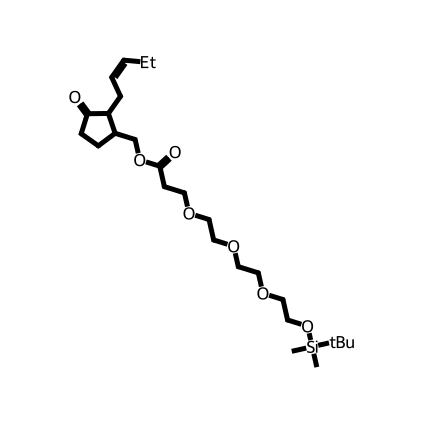 CC/C=C\CC1C(=O)CCC1COC(=O)CCOCCOCCOCCO[Si](C)(C)C(C)(C)C